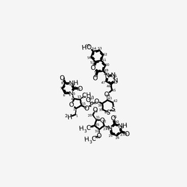 [2H]C[C@H]1O[C@@H](n2ccc(=O)[nH]c2=O)[C@@H](C)C1OP(=O)(OC[C@H]1O[C@@H](n2ccc(=O)[nH]c2=O)[C@@H](OC)C1C)OC1CSSC[C@H]1OCc1cn(-c2cc3ccc(O)cc3oc2=O)nn1